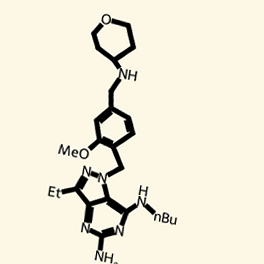 CCCCNc1nc(N)nc2c(CC)nn(Cc3ccc(CNC4CCOCC4)cc3OC)c12